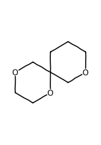 C1COCC2(C1)COCCO2